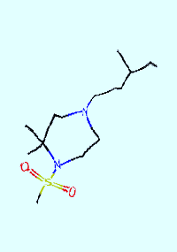 CC(C)CCN1CCN(S(C)(=O)=O)C(C)(C)C1